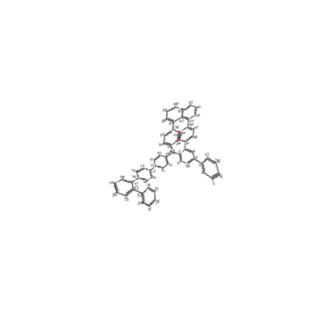 c1ccc(-c2ccc(N(c3ccc(-c4ccc(-c5ccccc5-c5ccccc5)cc4)cc3)c3ccc(-c4cccc5cccc(-c6ccccc6)c45)cc3)cc2)cc1